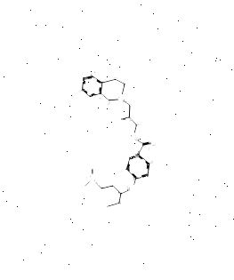 CCC(CCN(C)C)Oc1ccc(C(=O)NCC(O)CN2CCc3ccccc3C2)cc1